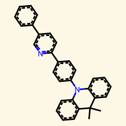 CC1(C)c2ccccc2N(c2ccc(-c3ccc(-c4ccccc4)cn3)cc2)c2ccccc21